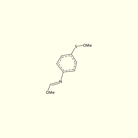 COC=Nc1ccc(SOC)cc1